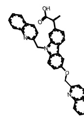 CC(C(=O)O)c1ccc2c3cc(OCc4ccc5ccccc5n4)ccc3n(Cc3ccc4ccccc4n3)c2c1